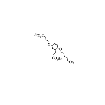 CCOC(=O)CCCOc1ccc(OCCCCCO)c(CCC(=O)OCC)c1